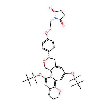 CC(C)(C)[Si](C)(C)OC1=Cc2c3c(cc(O[Si](C)(C)C(C)(C)C)c2=C2COC(c4ccc(OCCN5C(=O)CCC5=O)cc4)CC2=C1)=CCCO3